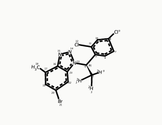 [2H]C([2H])([2H])[C@H](c1ccc(Cl)cc1Cl)n1nnc2c(C)cc(Br)cc21